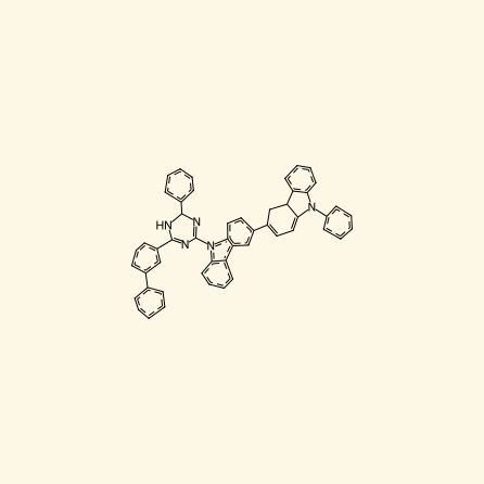 C1=C(c2ccc3c(c2)c2ccccc2n3C2=NC(c3ccccc3)NC(c3cccc(-c4ccccc4)c3)=N2)CC2C(=C1)N(c1ccccc1)c1ccccc12